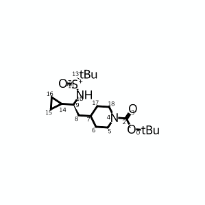 CC(C)(C)OC(=O)N1CCC(C[C@H](N[S@@+]([O-])C(C)(C)C)C2CC2)CC1